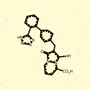 CCCc1c(Cc2ccc(-c3ccccc3-c3nnn[nH]3)cc2)c(=O)n2cccc(C(=O)O)n12